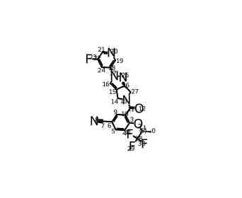 C[C@H](Oc1ccc(C#N)cc1C(=O)N1Cc2cn(-c3cncc(F)c3)nc2C1)C(F)(F)F